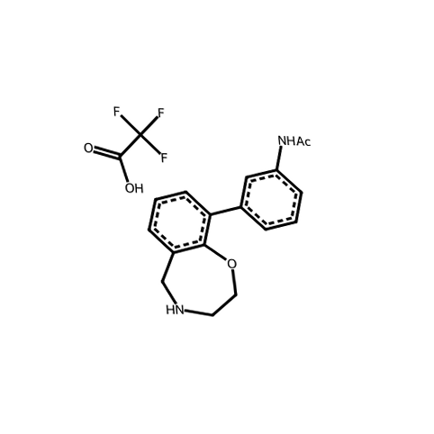 CC(=O)Nc1cccc(-c2cccc3c2OCCNC3)c1.O=C(O)C(F)(F)F